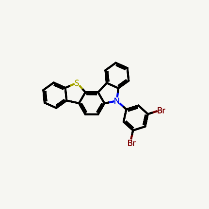 Brc1cc(Br)cc(-n2c3ccccc3c3c4sc5ccccc5c4ccc32)c1